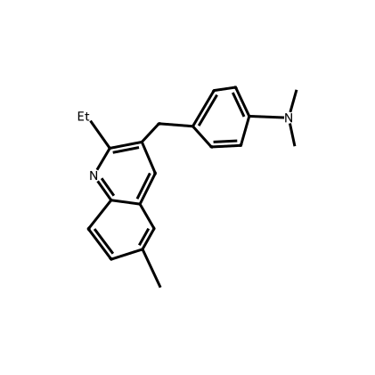 CCc1nc2ccc(C)cc2cc1Cc1ccc(N(C)C)cc1